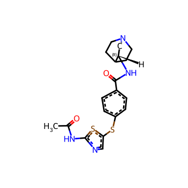 CC(=O)Nc1ncc(Sc2ccc(C(=O)N[C@H]3CN4CCC3CC4)cc2)s1